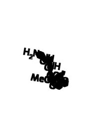 C=CCOC(=O)N1c2cc(OCCCC(=O)Nc3cc(C(=O)Nc4ccc(N)cc4)n(C)c3)c(OC)cc2C(=O)N2CCCC[C@H]2C1OC1CCCCO1